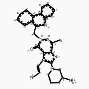 CC/C=C/n1c(N2CCCC(N)C2)nc2c(C)nn(Cc3nc4ccccc4c4ccccc34)c(=O)c21